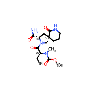 CC(C)C[C@@H](C(=O)N1C[C@]2(CCCNC2=O)C[C@H]1C(N)=O)N(C)C(=O)OC(C)(C)C